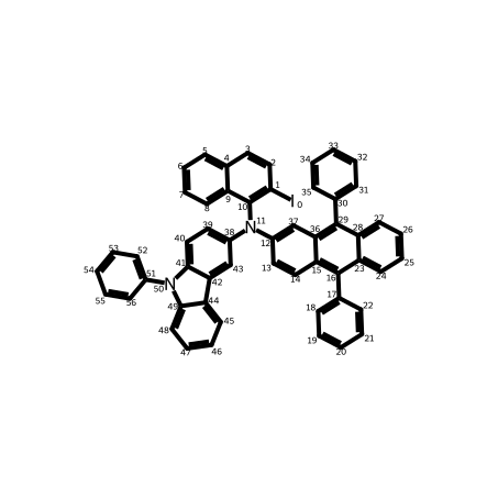 Ic1ccc2ccccc2c1N(c1ccc2c(-c3ccccc3)c3ccccc3c(-c3ccccc3)c2c1)c1ccc2c(c1)c1ccccc1n2-c1ccccc1